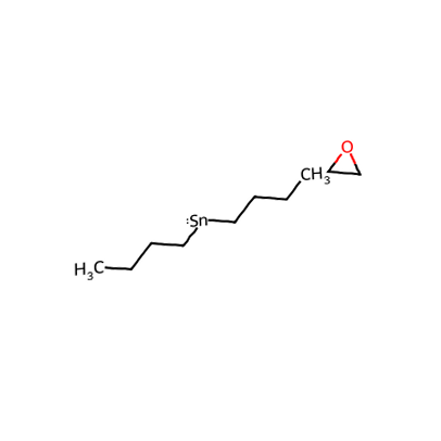 C1CO1.CCC[CH2][Sn][CH2]CCC